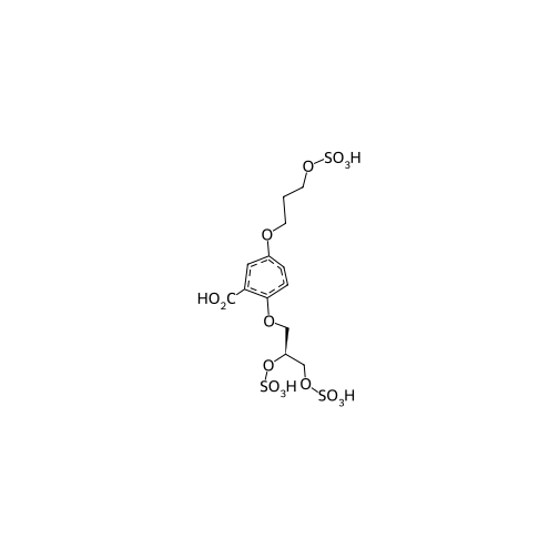 O=C(O)c1cc(OCCCOS(=O)(=O)O)ccc1OC[C@@H](COS(=O)(=O)O)OS(=O)(=O)O